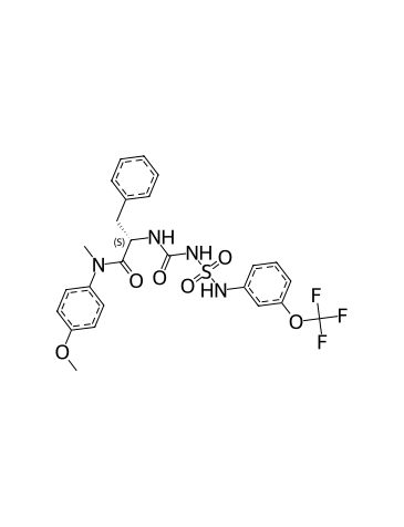 COc1ccc(N(C)C(=O)[C@H](Cc2ccccc2)NC(=O)NS(=O)(=O)Nc2cccc(OC(F)(F)F)c2)cc1